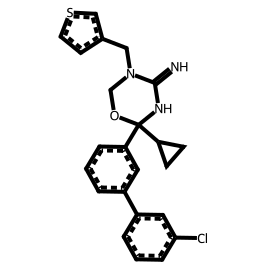 N=C1NC(c2cccc(-c3cccc(Cl)c3)c2)(C2CC2)OCN1Cc1ccsc1